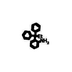 CCC(c1ccccc1)(c1ccccc1)c1ccccc1N